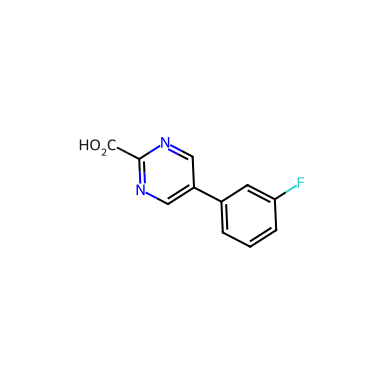 O=C(O)c1ncc(-c2cccc(F)c2)cn1